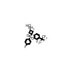 Cl.N[C@H]1C[C@@](c2ccc(C(F)(C(F)(F)F)C(F)(F)F)cc2)(S(=O)(=O)c2ccc(F)cc2)C1